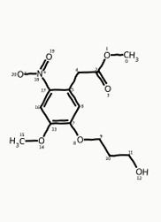 COC(=O)Cc1cc(OCCCO)c(OC)cc1[N+](=O)[O-]